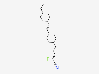 CC[C@H]1CC[C@H](C=CC2CCC(CCC=C(F)C#N)CC2)CC1